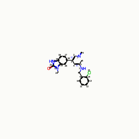 C=N/C=C(\C=C(/C)NCc1ccccc1Cl)c1ccc2[nH]c(=O)n(C)c2c1